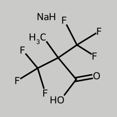 CC(C(=O)O)(C(F)(F)F)C(F)(F)F.[NaH]